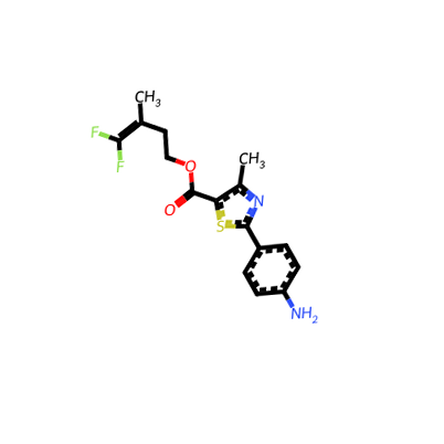 CC(CCOC(=O)c1sc(-c2ccc(N)cc2)nc1C)=C(F)F